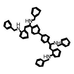 C(=C(NCc1ccccc1)c1ccc(-c2ccc(C(=Cc3ccccc3NCc3ccccc3)NCc3ccccc3)cc2)cc1)c1ccccc1NCc1ccccc1